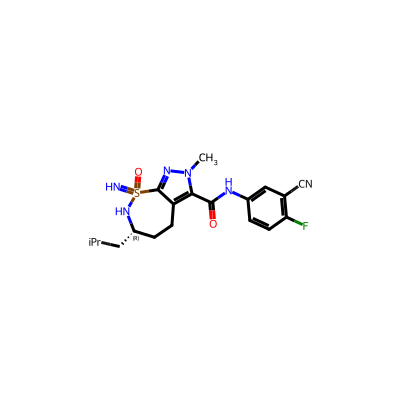 CC(C)C[C@H]1CCc2c(nn(C)c2C(=O)Nc2ccc(F)c(C#N)c2)S(=N)(=O)N1